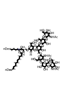 CCCCCCCCCCCCC/C=C/[C@@H](O)[C@H](CO[C@@H]1OC(CO)[C@@H](O[C@@H]2OC(CO[C@@H]3OC(CO)[C@@H](O[C@@H]4OC(CO)[C@H](O[C@@H]5OC(CO)[C@H](O)[C@H](O)C5NC(C)=O)[C@H](O)C4O)[C@H](O)C3NC(C)=O)[C@H](O)[C@H](O[C@H]3OC(CO)[C@H](O)[C@H](O[C@@H]4OC(CO)[C@H](O)[C@H](O)C4NC(C)=O)C3O)C2O)[C@H](O)C1O)NC(=O)CCCCCCCCCCCCCCCCCCC